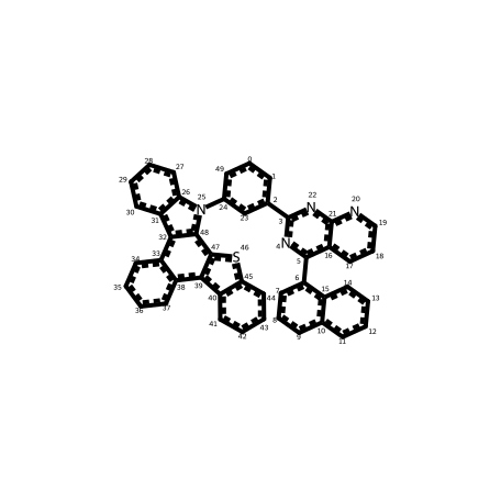 c1cc(-c2nc(-c3cccc4ccccc34)c3cccnc3n2)cc(-n2c3ccccc3c3c4ccccc4c4c5ccccc5sc4c32)c1